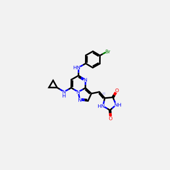 O=C1NC(=O)/C(=C/c2cnn3c(NC4CC4)cc(Nc4ccc(Br)cc4)nc23)N1